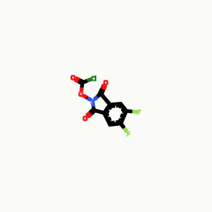 O=C(Cl)ON1C(=O)c2cc(F)c(F)cc2C1=O